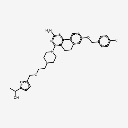 CC(O)c1ccc(COCCN2CCN(c3nc(N)nc4c3CCc3cc(OCc5ccc(Cl)cc5)ccc3-4)CC2)o1